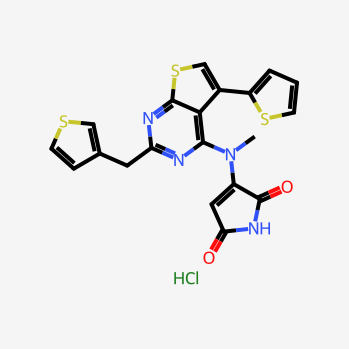 CN(C1=CC(=O)NC1=O)c1nc(Cc2ccsc2)nc2scc(-c3cccs3)c12.Cl